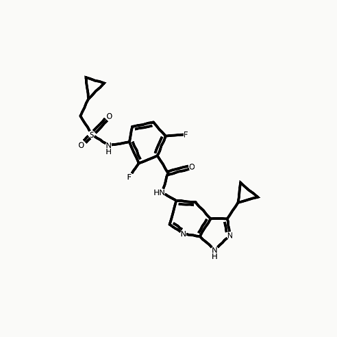 O=C(Nc1cnc2[nH]nc(C3CC3)c2c1)c1c(F)ccc(NS(=O)(=O)CC2CC2)c1F